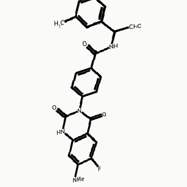 CNc1cc2[nH]c(=O)n(-c3ccc(C(=O)NC(C=O)c4cccc(C)c4)cc3)c(=O)c2cc1F